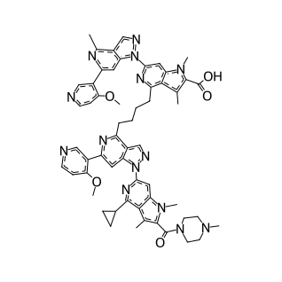 COc1ccncc1-c1cc2c(cnn2-c2cc3c(c(CCCCc4nc(-c5cnccc5OC)cc5c4cnn5-c4cc5c(c(C6CC6)n4)c(C)c(C(=O)N4CCN(C)CC4)n5C)n2)c(C)c(C(=O)O)n3C)c(C)n1